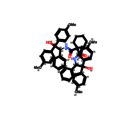 COc1ccc(C(O)(c2ccc(OC)cc2)[C@H](NC(=O)C2(C(=O)N[C@H](c3ccccc3)C(O)(c3ccc(OC)cc3)c3ccc(OC)cc3)CCCCC2)c2ccccc2)cc1